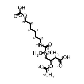 CC(=O)OC(CC(=O)O)C[N+](C)(C)C(=O)NCCCCCCOC(=O)O